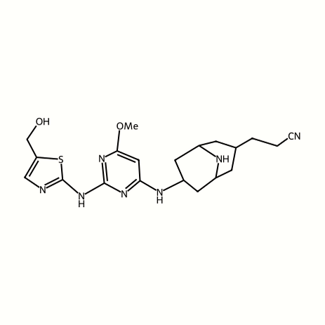 COc1cc(NC2CC3CC(CCC#N)CC(C2)N3)nc(Nc2ncc(CO)s2)n1